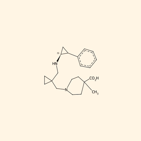 CC1(C(=O)O)CCN(CC2(CN[C@H]3CC3c3ccccc3)CC2)CC1